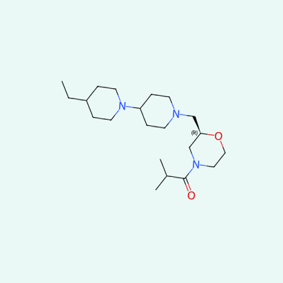 CCC1CCN(C2CCN(C[C@@H]3CN(C(=O)C(C)C)CCO3)CC2)CC1